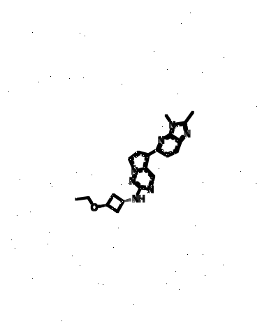 CCO[C@H]1C[C@H](Nc2ncc3c(-c4ccc5nc(C)n(C)c5n4)ccn3n2)C1